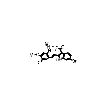 COc1cc(N=[N+]=[N-])c(/C=C/c2[nH]c3cc(Br)ccc3c2C(=O)C(F)(F)F)cc1Cl